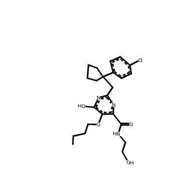 CCCCOc1c(O)nc(CC2(c3ccc(Cl)cc3)CCCC2)nc1C(=O)NCCO